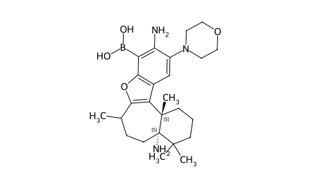 CC1CC[C@]2(N)C(C)(C)CCC[C@@]2(C)c2c1oc1c(B(O)O)c(N)c(N3CCOCC3)cc21